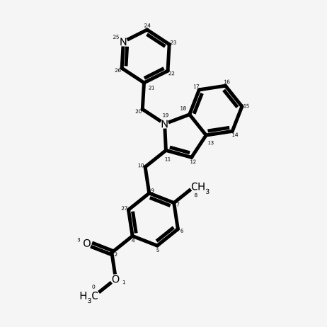 COC(=O)c1ccc(C)c(Cc2cc3ccccc3n2Cc2cccnc2)c1